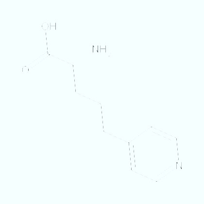 N[C@H](CCCc1ccncc1)C(=O)O